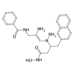 N/C(=C\N(N)C(CC(=O)NO)Cc1ccc2ccccc2c1)CNC(=O)c1ccccc1